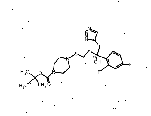 CC(C)(C)OC(=O)N1CCN(SCC[C@](O)(Cn2cncn2)c2ccc(F)cc2F)CC1